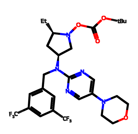 CC[C@@H]1C[C@H](N(Cc2cc(C(F)(F)F)cc(C(F)(F)F)c2)c2ncc(N3CCOCC3)cn2)CN1OC(=O)OC(C)(C)C